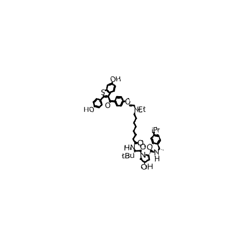 CCN(CCCCCCCC(=O)N[C@H](C(=O)N1C[C@H](O)C[C@H]1C(=O)N[C@@H](C)c1ccc(C(C)C)cc1)C(C)(C)C)CCOc1ccc(C(=O)c2c(-c3ccc(O)cc3)sc3cc(O)ccc23)cc1